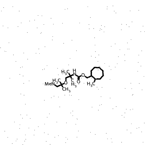 CNCC(C)(C)OCC(C)(C)NC(=O)OCC1CCCCCCC1C